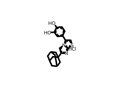 Cl.Oc1ccc(-c2csc3nc(C45CC6CC(CC(C6)C4)C5)cn23)cc1O